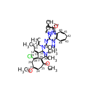 C=C/N=C(\N=C(/C)N(C=C)C(=N\C)/C(=C\CC)C1=C(Cl)C/C(OC)=C\C/C(OC)=C\1CC)NC1=C(NC(=O)C=C)C=CCC=C1